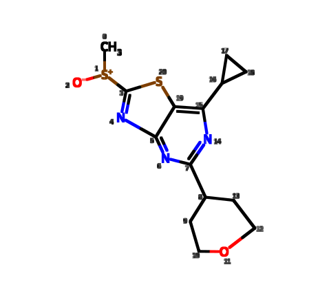 C[S+]([O-])c1nc2nc(C3CCOCC3)nc(C3CC3)c2s1